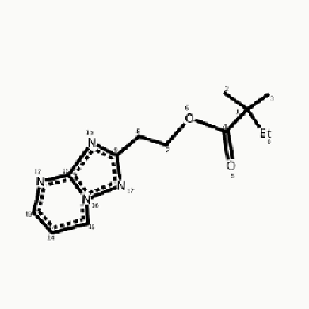 CCC(C)(C)C(=O)OCCc1nc2ncccn2n1